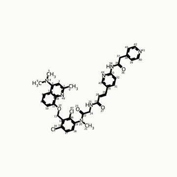 Cc1cc(N(C)C)c2cccc(OCc3c(Cl)ccc(N(C)C(=O)CNC(=O)/C=C/c4ccc(NC(=O)Cc5ccncc5)nc4)c3Cl)c2n1